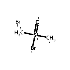 C[S+](C)(=O)Br.[Br-]